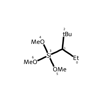 CCC(C(C)(C)C)[Si](OC)(OC)OC